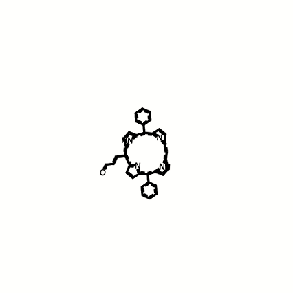 O=C/C=C/c1c2nc(c(-c3ccccc3)c3ccc(cc4nc(c(-c5ccccc5)c5ccc1[nH]5)C=C4)[nH]3)C=C2